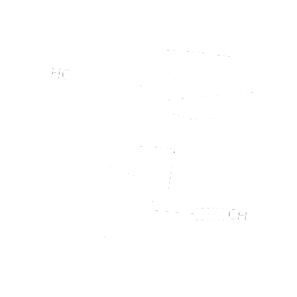 C#CC12CC3CC(C1)CC(C14CC5CC(CC(C#C)(C5)C1)C4)(C3)C2